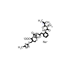 C/C=C(\C)C(=O)N(C)C(=O)Nc1ccccc1CC(=O)NC1C(=O)N2C(C(=O)[O-])=C(CSc3nnc(C)s3)CS[C@H]12.[Na+]